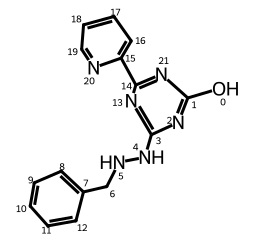 Oc1nc(NNCc2ccccc2)nc(-c2ccccn2)n1